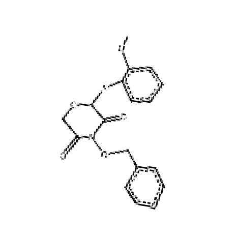 COc1ccccc1SC1OCC(=O)N(OCc2ccccc2)C1=O